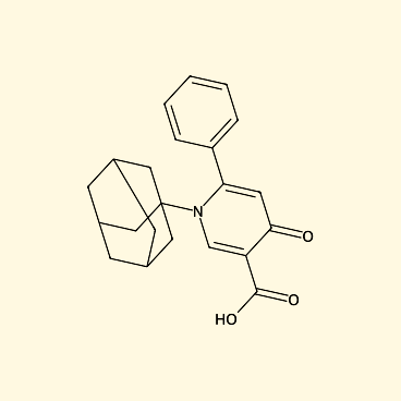 O=C(O)c1cn(C23CC4CC(CC(C4)C2)C3)c(-c2ccccc2)cc1=O